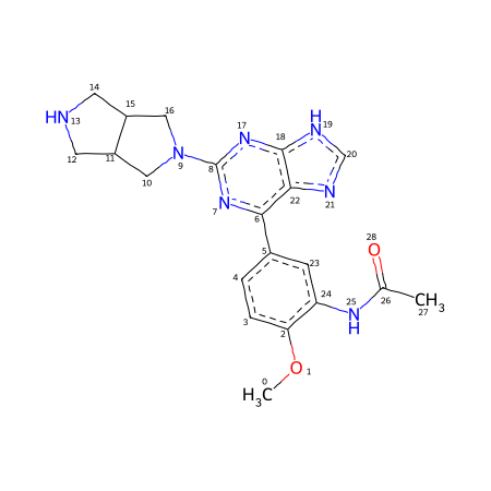 COc1ccc(-c2nc(N3CC4CNCC4C3)nc3[nH]cnc23)cc1NC(C)=O